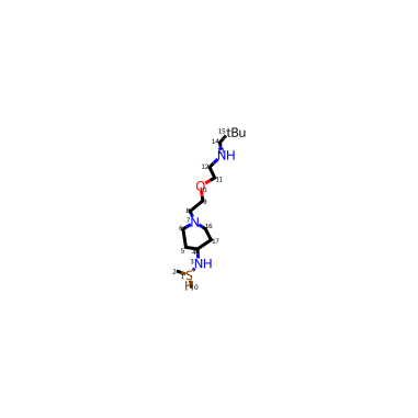 C[SH](C)NC1CCN(CCOCCNCC(C)(C)C)CC1